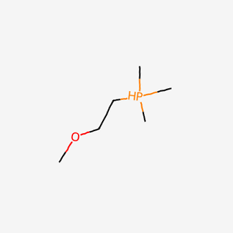 COCC[PH](C)(C)C